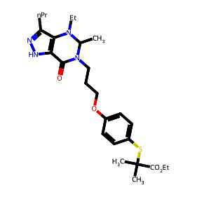 CCCc1n[nH]c2c1N(CC)C(C)N(CCCOc1ccc(SC(C)(C)C(=O)OCC)cc1)C2=O